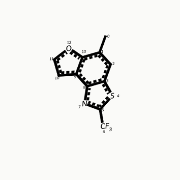 Cc1cc2sc(C(F)(F)F)nc2c2ccoc12